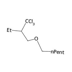 [CH2]CCCCCOCC(CC)C(Cl)(Cl)Cl